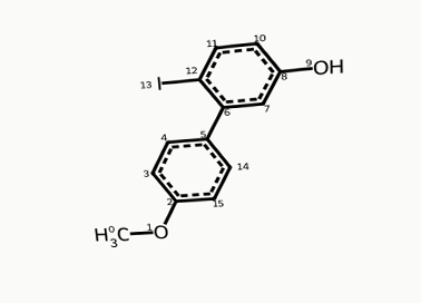 COc1ccc(-c2cc(O)ccc2I)cc1